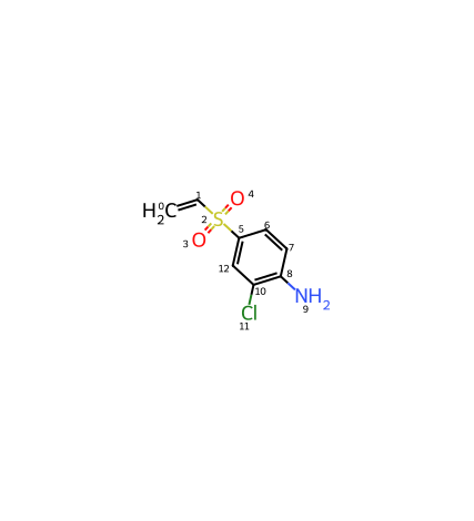 C=CS(=O)(=O)c1ccc(N)c(Cl)c1